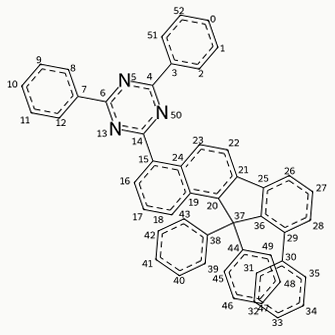 c1ccc(-c2nc(-c3ccccc3)nc(-c3cccc4c5c(ccc34)-c3cccc(-c4ccccc4)c3C5(c3ccccc3)c3ccccc3)n2)cc1